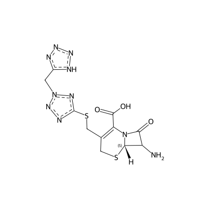 NC1C(=O)N2C(C(=O)O)=C(CSc3nnn(Cc4nnn[nH]4)n3)CS[C@@H]12